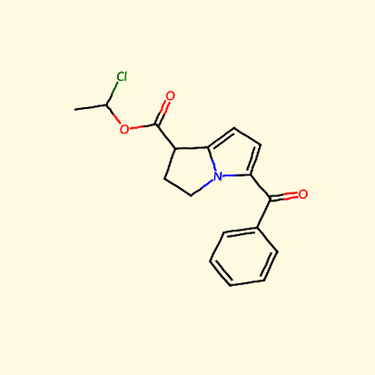 CC(Cl)OC(=O)C1CCn2c(C(=O)c3ccccc3)ccc21